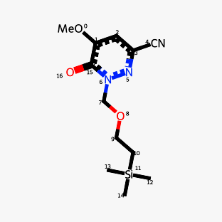 COc1cc(C#N)nn(COCC[Si](C)(C)C)c1=O